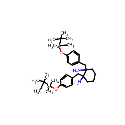 CC(C)(C)[Si](C)(C)Oc1ccc(CC2(N)CCCCC2(N)Cc2ccc(O[Si](C)(C)C(C)(C)C)cc2)cc1